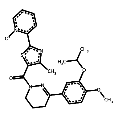 COc1ccc(C2=NN(C(=O)c3sc(-c4cccc[n+]4[O-])nc3C)CCC2)cc1OC(C)C